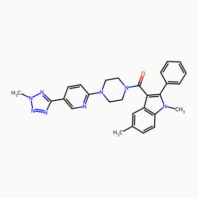 Cc1ccc2c(c1)c(C(=O)N1CCN(c3ccc(-c4nnn(C)n4)cn3)CC1)c(-c1ccccc1)n2C